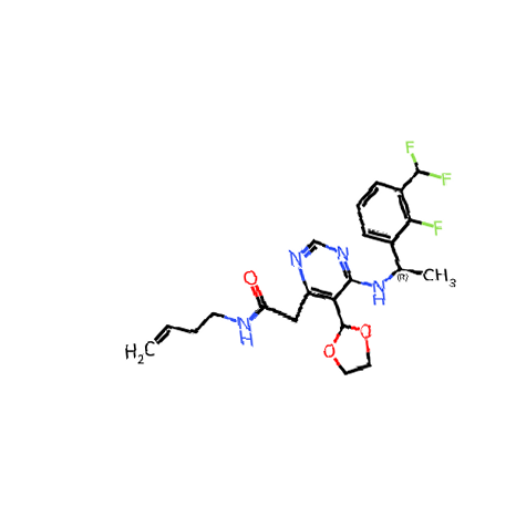 C=CCCNC(=O)Cc1ncnc(N[C@H](C)c2cccc(C(F)F)c2F)c1C1OCCO1